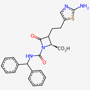 Nc1ncc(CCC2C(=O)N(C(=O)NC(c3ccccc3)c3ccccc3)[C@@H]2C(=O)O)s1